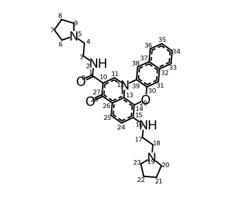 O=C(NCCN1CCCC1)c1cn2c3c(c(NCCN4CCCC4)ccc3c1=O)Oc1cc3ccccc3cc1-2